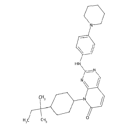 CCC(C)(C)C1CCC(n2c(=O)ccc3cnc(Nc4ccc(N5CCCCC5)cc4)nc32)CC1